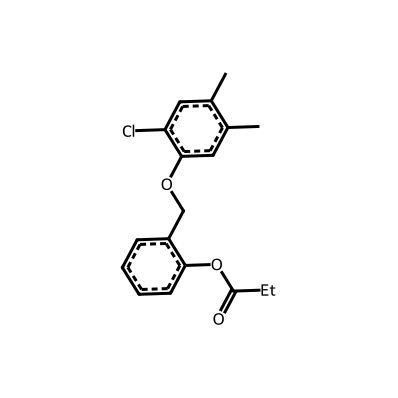 CCC(=O)Oc1ccccc1COc1cc(C)c(C)cc1Cl